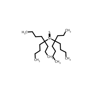 CCCC[C](CCC)(CCCC)[Sn](=[S])[C](CCC)(CCCC)CCCC